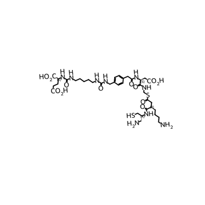 NCCCC[C@H](CC(=O)SCNC(=O)[C@H](CC(=O)O)NC(=O)Cc1ccc(CNC(=O)NCCCCCNC(=O)N[C@@H](CCC(=O)O)C(=O)O)cc1)C(=O)N[C@H](CN)CS